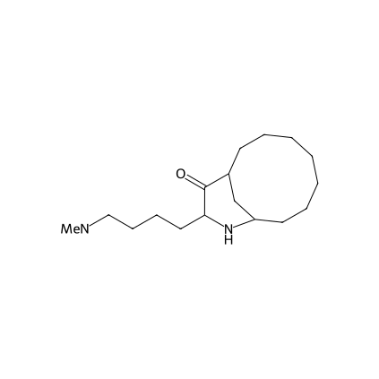 CNCCCCC1NC2CCCCCCCC(C2)C1=O